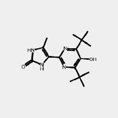 Cc1[nH]c(=O)[nH]c1-c1nc(C(C)(C)C)c(O)c(C(C)(C)C)n1